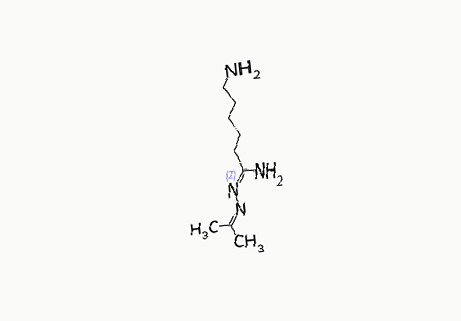 CC(C)=N/N=C(\N)CCCCCN